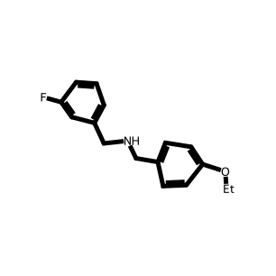 CCOc1ccc(CNCc2cccc(F)c2)cc1